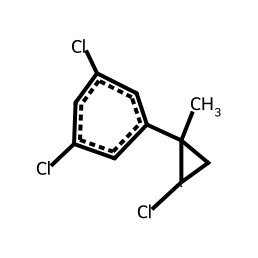 CC1(c2cc(Cl)cc(Cl)c2)C[C]1Cl